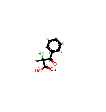 CC(Cl)(C(=O)O)C(=O)c1ccccc1